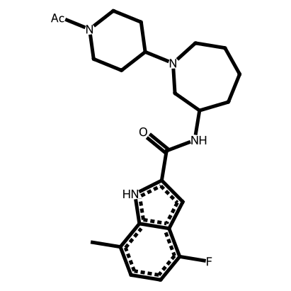 CC(=O)N1CCC(N2CCCCC(NC(=O)c3cc4c(F)ccc(C)c4[nH]3)C2)CC1